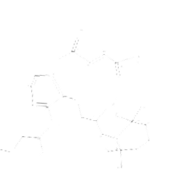 COCC(C)Oc1ccccc1OCC(O)CN1C(C)(C)CCCC1(C)C.O=C(O)C=CC(=O)O